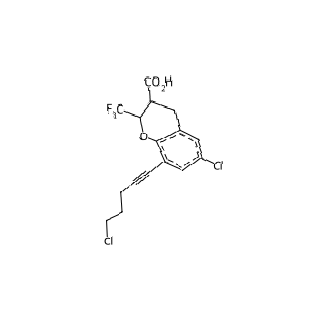 O=C(O)C1Cc2cc(Cl)cc(C#CCCCCl)c2OC1C(F)(F)F